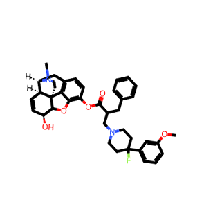 COc1cccc(C2(F)CCN(CC(Cc3ccccc3)C(=O)Oc3ccc4c5c3OC3[C@@H](O)C=C[C@H]6[C@@H](C4)N(C)CC[C@]536)CC2)c1